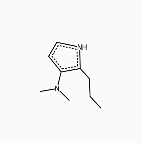 CCCc1[nH]ccc1N(C)C